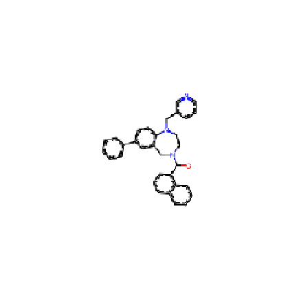 O=C(c1cccc2ccccc12)N1CCN(Cc2cccnc2)c2ccc(-c3ccccc3)cc2C1